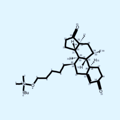 CC(C)(C)[Si](C)(C)OCCCCC[C@@H]1CC2=CC(=O)CC[C@@H]2[C@@H]2[C@@H]1[C@@H]1CCC(=O)[C@@]1(C)C[C@@H]2F